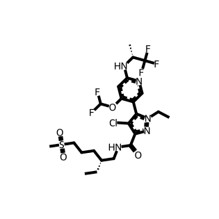 CC[C@H](CCCS(C)(=O)=O)CNC(=O)c1nn(CC)c(-c2cnc(N[C@H](C)C(F)(F)F)cc2OC(F)F)c1Cl